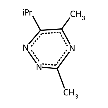 Cc1nnc(C(C)C)c(C)n1